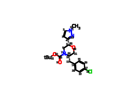 Cn1ccc([C@H]2CN(C(=O)OC(C)(C)C)[C@@H](Cc3ccc(Cl)cc3)CO2)n1